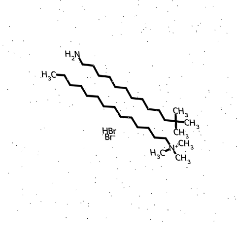 Br.CC(C)(C)CCCCCCCCCCCN.CCCCCCCCCCCCCC[N+](C)(C)C.[Br-]